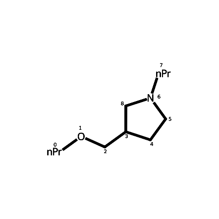 CCCOCC1CCN(CCC)C1